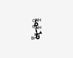 CNC(=O)c1ccc(NCC#Cc2nc3c(Br)cccn3c2C2CC2)c(OC)c1